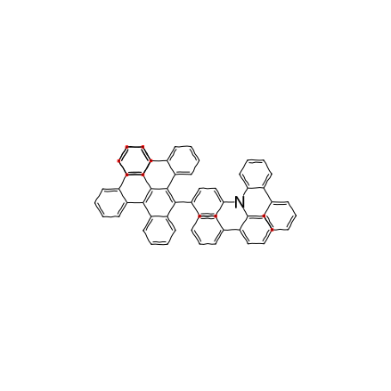 c1ccc(-c2ccccc2-c2c3ccccc3c(-c3ccc(N(c4ccccc4-c4ccccc4)c4ccccc4-c4ccccc4)cc3)c3c4ccccc4c4ccccc4c23)cc1